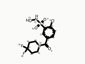 O=C(c1ccc(Cl)c(S(=O)(=O)NO)c1)N1CCC(F)(F)CC1